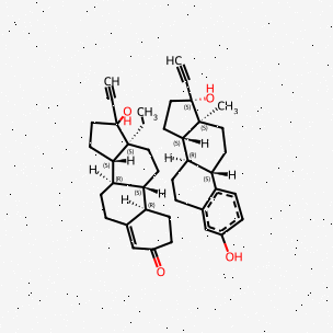 C#CC1(O)CC[C@H]2[C@@H]3CCC4=CC(=O)CC[C@@H]4[C@H]3CC[C@@]21CC.C#C[C@]1(O)CC[C@H]2[C@@H]3CCc4cc(O)ccc4[C@H]3CC[C@@]21C